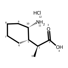 C[C@H](C(=O)O)[C@@H]1CCCC[C@@H]1N.Cl